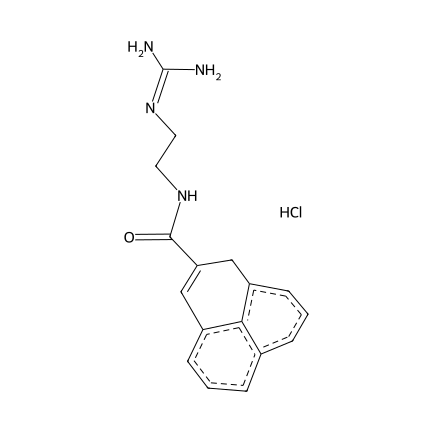 Cl.NC(N)=NCCNC(=O)C1=Cc2cccc3cccc(c23)C1